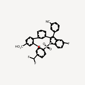 N#Cc1cccc(-c2c(-c3cccc(-c4ccc(C(=O)O)cc4Cl)c3)n(S(=O)(=O)c3ccc(C(F)F)cc3)c3ccc(F)cc23)c1